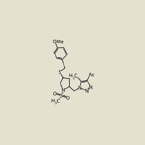 COc1ccc(CSC2CC(Cn3nnc(C(C)=O)c3C)N(S(C)(=O)=O)C2)cc1